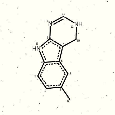 Cc1ccc2[nH]c3c(c2c1)CNC=N3